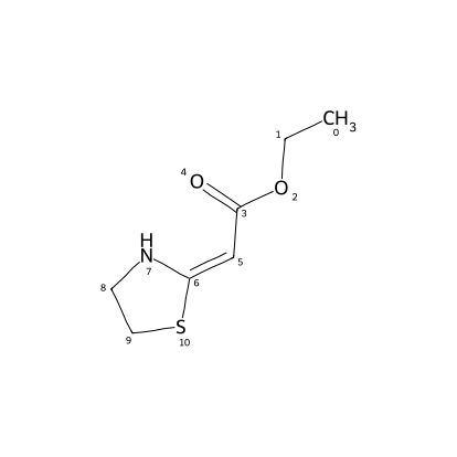 CCOC(=O)/C=C1\NCCS1